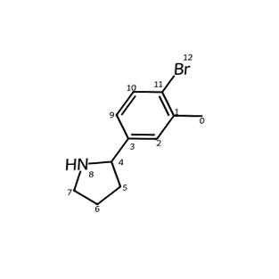 Cc1cc(C2CCCN2)ccc1Br